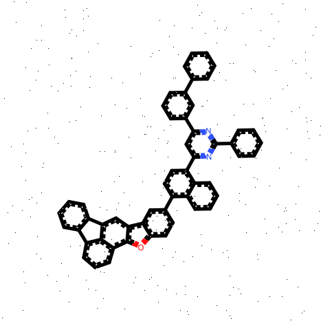 c1ccc(-c2cccc(-c3cc(-c4ccc(-c5ccc6oc7c8cccc9c8c(cc7c6c5)-c5ccccc5-9)c5ccccc45)nc(-c4ccccc4)n3)c2)cc1